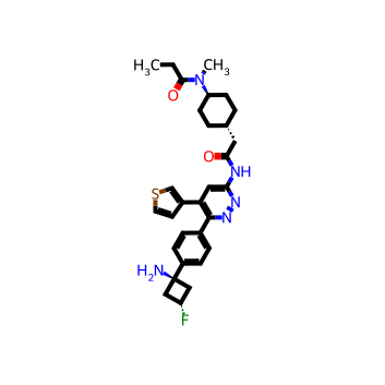 CCC(=O)N(C)[C@H]1CC[C@H](CC(=O)Nc2cc(-c3ccsc3)c(-c3ccc([C@]4(N)C[C@H](F)C4)cc3)nn2)CC1